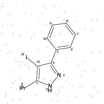 CC(C)c1[nH]nc(-c2ccccc2)c1I